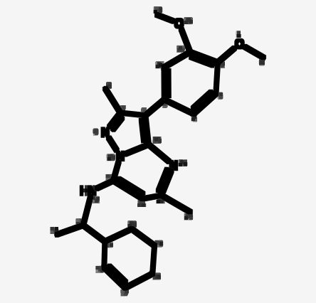 COc1ccc(-c2c(C)nn3c(NC(C)C4C=CCCC4)cc(C)nc23)cc1OC